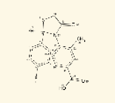 [2H]C1(c2ccc(F)cc2)SCC(=O)N1c1ccc(C(=O)O)cc1C